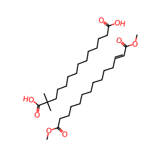 CC(C)(CCCCCCCCCCCC(=O)O)C(=O)O.COC(=O)C=CCCCCCCCCCCC(=O)OC